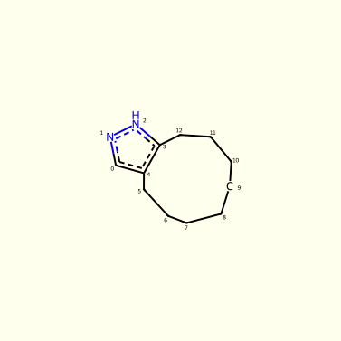 c1n[nH]c2c1CCCCCCCC2